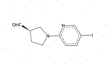 O=C[C@@H]1CCN(c2ccc(I)cn2)C1